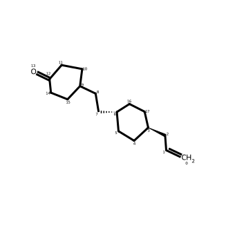 C=CC[C@H]1CC[C@H](CCC2CCC(=O)CC2)CC1